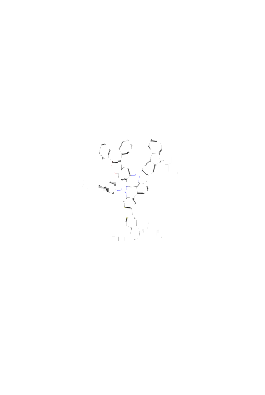 CC(C)(C)c1ccc(N2B3c4cc5oc(-c6ccccc6)c(-c6ccccc6)c5cc4-n4c5cc6c(cc5c5ccc(c3c54)-c3cc4c(cc32)sc2cc3c(cc24)C(C)(C)CCC3(C)C)C(C)(C)c2ccccc2-6)cc1